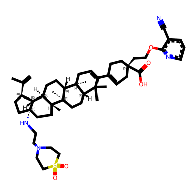 C=C(C)[C@@H]1CC[C@]2(NCCN3CCS(=O)(=O)CC3)CC[C@]3(C)[C@H](CC[C@@H]4[C@@]5(C)CC=C(C6=CC[C@@](CCOc7ncccc7C#N)(C(=O)O)CC6)C(C)(C)[C@@H]5CC[C@]43C)[C@@H]12